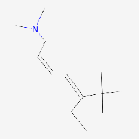 CC/C(=C\C=C/CN(C)C)C(C)(C)C